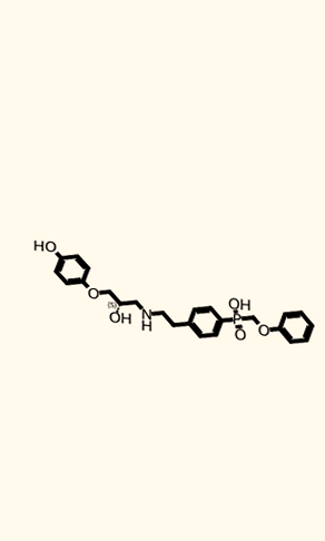 O=P(O)(COc1ccccc1)c1ccc(CCNC[C@H](O)COc2ccc(O)cc2)cc1